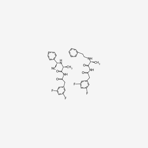 C[C@H](NCCc1ccccc1)C(=O)NC(=O)Cc1cc(F)cc(F)c1.C[C@H](N[C@@H](C#N)c1ccccc1)C(=O)NC(=O)Cc1cc(F)cc(F)c1